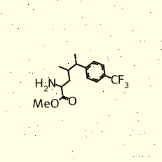 COC(=O)C(N)CC(C)C(C)c1ccc(C(F)(F)F)cc1